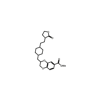 COC(=O)c1ccc2c(c1)OC(CN1CCC(CCN3CCOC3=O)CC1)CO2